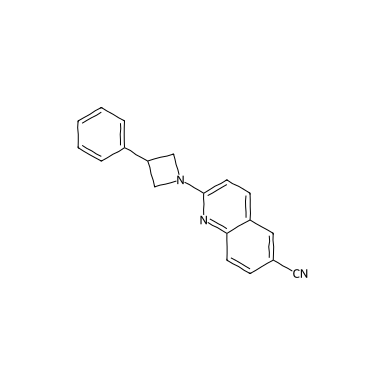 N#Cc1ccc2nc(N3CC(c4ccccc4)C3)ccc2c1